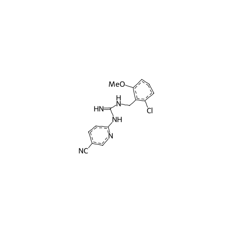 COc1cccc(Cl)c1CNC(=N)Nc1ccc(C#N)cn1